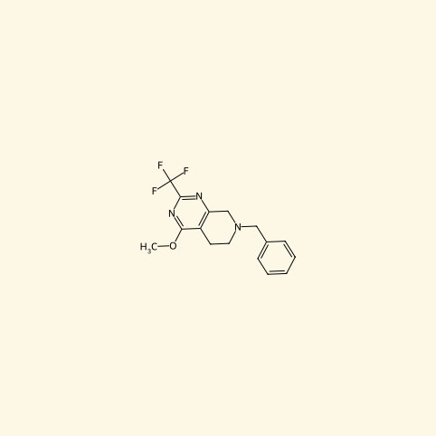 COc1nc(C(F)(F)F)nc2c1CCN(Cc1ccccc1)C2